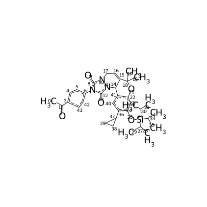 CC(=O)c1ccc(-n2c(=O)n3n(c2=O)C2C(=CC3)C(C)(C)Oc3cc(O[Si](C(C)C)(C(C)C)C(C)C)c(C4CC4)cc32)cc1